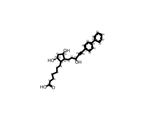 O=C(O)CCCCCCC1C(CCC(O)C#Cc2ccc(-c3ccccc3)cc2)C(O)C[C@@H]1O